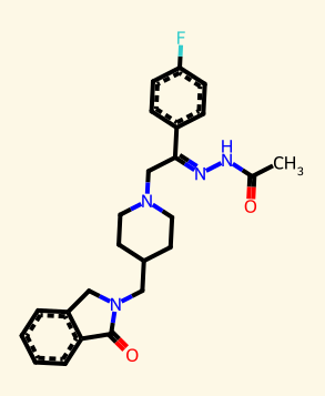 CC(=O)NN=C(CN1CCC(CN2Cc3ccccc3C2=O)CC1)c1ccc(F)cc1